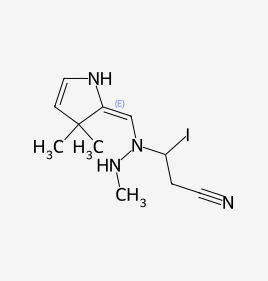 CNN(/C=C1/NC=CC1(C)C)C(I)CC#N